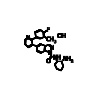 Cc1cc(-c2ncccc2-c2ccc3c(cnn3C(=O)N[C@@H]3CCCC[C@H]3N)c2)ccc1F.Cl